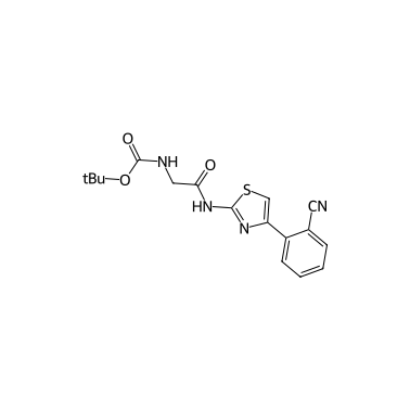 CC(C)(C)OC(=O)NCC(=O)Nc1nc(-c2ccccc2C#N)cs1